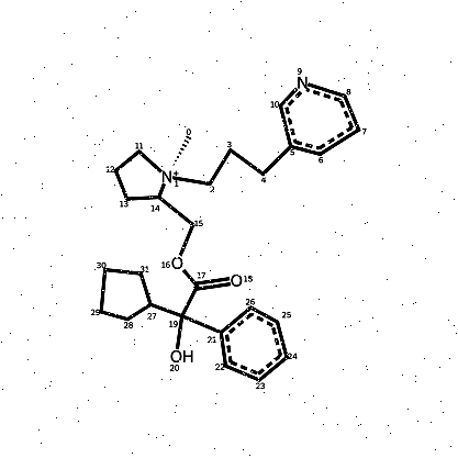 C[N@@+]1(CCCc2cccnc2)CCCC1COC(=O)C(O)(c1ccccc1)C1CCCC1